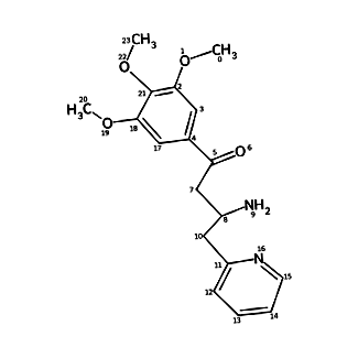 COc1cc(C(=O)CC(N)Cc2ccccn2)cc(OC)c1OC